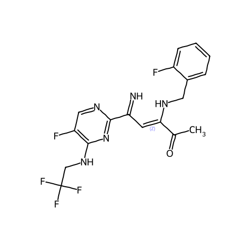 CC(=O)/C(=C/C(=N)c1ncc(F)c(NCC(F)(F)F)n1)NCc1ccccc1F